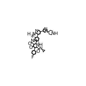 Cn1c(C(=O)NC2CC2)c(-c2ccc(F)cc2)c(=O)c(C(N)=O)c1-c1ccc(-c2cc(-c3cnn(C4CCNCC4)c3)cnc2N)c(F)c1